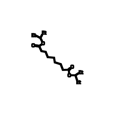 CCC(CC)OC(=O)CCCCCCCC(=O)OC(CC)CC